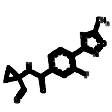 Cc1nc(-c2ccc(C(=O)NC3(C=O)CC3)cc2F)no1